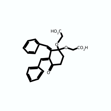 O=C(O)COC1(OCC(=O)O)CCC(=O)C(=C\c2ccccc2)/C1=C\c1ccccc1